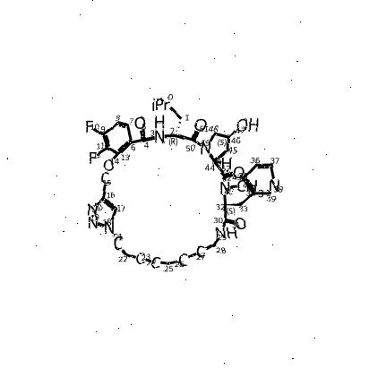 CC(C)C[C@H]1NC(=O)c2ccc(F)c(F)c2OCc2cn(nn2)CCCCCCCCNC(=O)[C@H](Cc2cccnc2)N(C)C(=O)[C@H]2C[C@H](O)CN2C1=O